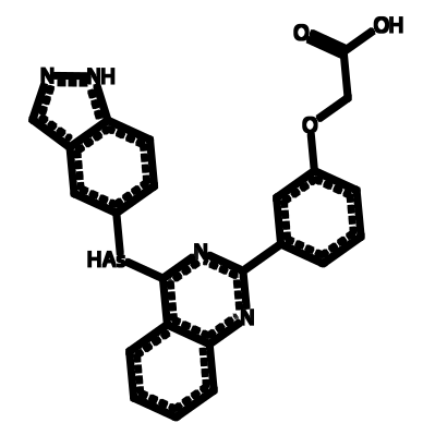 O=C(O)COc1cccc(-c2nc([AsH]c3ccc4[nH]ncc4c3)c3ccccc3n2)c1